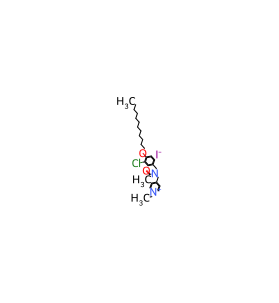 CCCCCCCCCCCCOc1ccc(CN(Cc2cc[n+](CC)cc2)C(C)=O)cc1Cl.[I-]